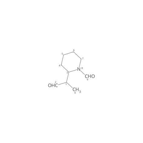 CC(C=O)C1CCCCN1C=O